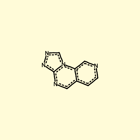 c1cc2cnc3nncn3c2cn1